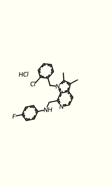 Cc1c(C)n(Cc2ccccc2Cl)c2c(CNc3ccc(F)cc3)nccc12.Cl